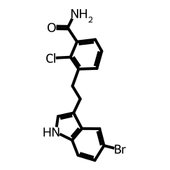 NC(=O)c1cccc(CCc2c[nH]c3ccc(Br)cc23)c1Cl